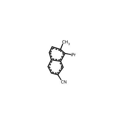 Cc1ccc2ccc(C#N)cc2c1C(C)C